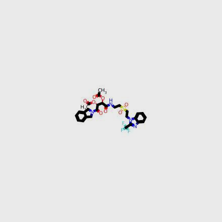 CC(=O)O[C@@H](C(=O)NCCS(=O)(=O)CCn1c(C(F)(F)F)nc2ccccc21)[C@@H](OC(C)=O)C(=O)N1Cc2ccccc2C1